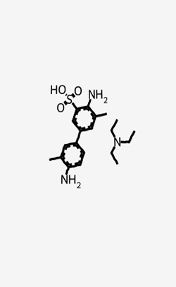 CCN(CC)CC.Cc1cc(-c2cc(C)c(N)c(S(=O)(=O)O)c2)ccc1N